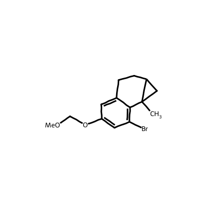 COCOc1cc(Br)c2c(c1)CCC1CC21C